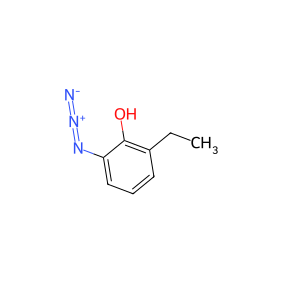 CCc1cccc(N=[N+]=[N-])c1O